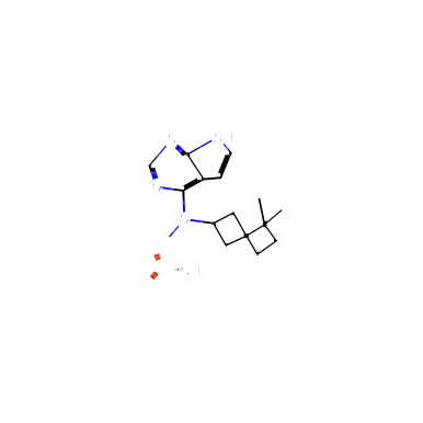 CN(c1ncnc2[nH]ccc12)C1CC2(CCC2(C)C)C1.N[SH](=O)=O